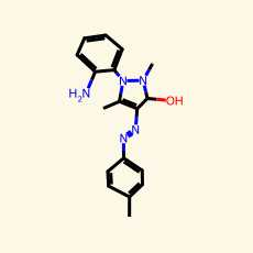 CC1=C(N=Nc2ccc(C)cc2)C(O)N(C)N1c1ccccc1N